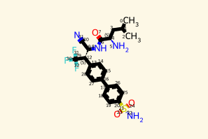 CC(C)C[C@H](N)C(=O)NC(C#N)[C@H](c1ccc(-c2ccc(S(N)(=O)=O)cc2)cc1)C(F)(F)F